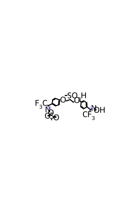 CS(=O)(=O)O.CS(=O)(=O)O/N=C(\c1ccc(OCCCOc2ccc(/C(=N/O)C(F)(F)F)cc2)cc1)C(F)(F)F